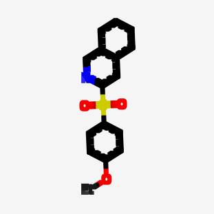 CCOc1ccc(S(=O)(=O)c2cc3ccccc3cn2)cc1